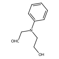 O=CCN(CCO)c1ccccc1